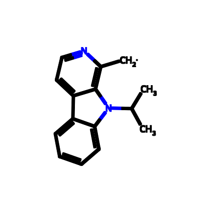 [CH2]c1nccc2c3ccccc3n(C(C)C)c12